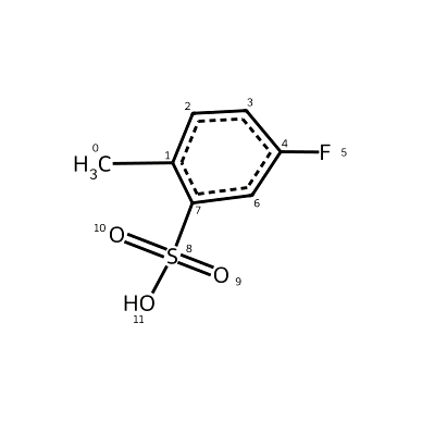 Cc1ccc(F)cc1S(=O)(=O)O